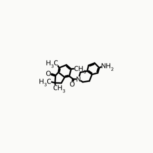 Cc1cc(C)c2c(c1C(=O)N1CCc3cc(N)ccc3C1)CC(C)(C)C2=O